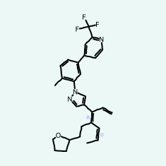 C=C/C(=C(\C=C/C)CCC1CCCO1)c1cnn(-c2cc(-c3ccnc(C(F)(F)F)c3)ccc2C)c1